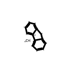 [CH].c1ccc2c(c1)Cc1ccccc1-2